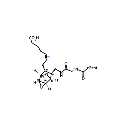 CCCCCC(=O)NCC(=O)NC[C@@H]1[C@H](C/C=C\CCCC(=O)O)[C@H]2O[C@@H]1[C@H]1O[C@H]12